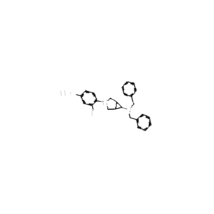 Cc1ccc(N2CC3C(C2)C3N(Cc2ccccc2)Cc2ccccc2)c(F)c1